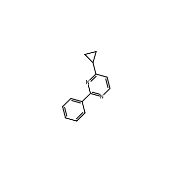 c1ccc(-c2nccc(C3CC3)n2)cc1